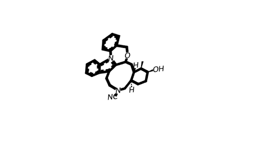 C[C@@H]1[C@H]2CC3OCc4ccccc4-n4c3c(c3ccccc34)CCN(C#N)C[C@@H]2CC[C@@H]1O